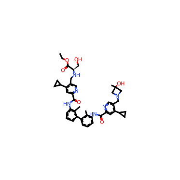 CCOC(=O)[C@@H](CO)NCc1cnc(C(=O)Nc2cccc(-c3cccc(NC(=O)c4cc(C5CC5)c(CN5CC(C)(O)C5)cn4)c3C)c2C)cc1C1CC1